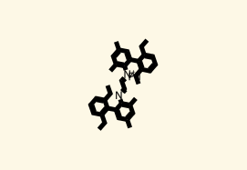 CCc1cccc(CC)c1-c1cc(C)cc(C)c1N=CC=[N+]([Pd])c1c(C)cc(C)cc1-c1c(CC)cccc1CC